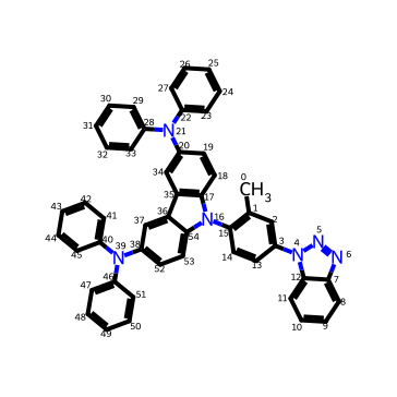 Cc1cc(-n2nnc3ccccc32)ccc1-n1c2ccc(N(c3ccccc3)c3ccccc3)cc2c2cc(N(c3ccccc3)c3ccccc3)ccc21